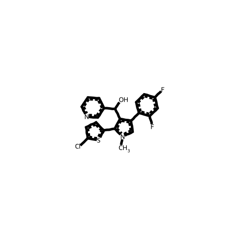 Cn1cc(-c2ccc(F)cc2F)c(C(O)c2cccnc2)c1-c1ccc(Cl)s1